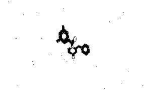 Cc1cc(C)cc(C(=O)N2CCC(=O)CC2Cc2ccccc2)c1